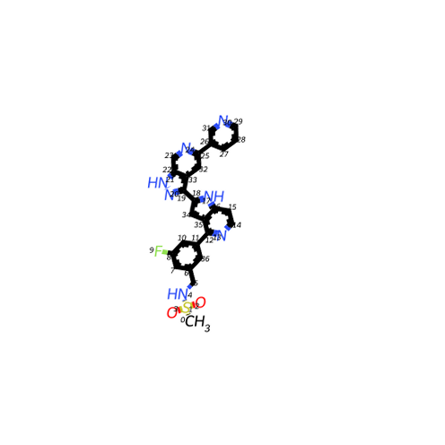 CS(=O)(=O)NCc1cc(F)cc(-c2nccc3[nH]c(-c4n[nH]c5cnc(-c6cccnc6)cc45)cc23)c1